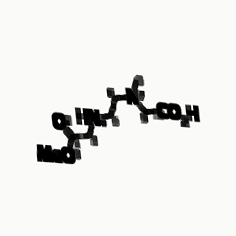 COC(=O)CNCCN(C)CC(=O)O